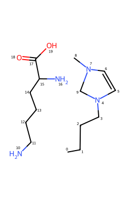 CCCCN1C=CN(C)C1.NCCCCC(N)C(=O)O